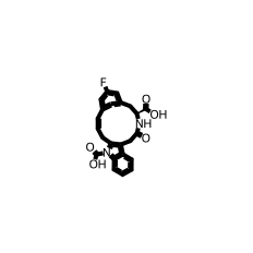 O=C1Cc2c(n(C(=O)O)c3ccccc23)C/C=C\c2cc(F)cc(c2)C[C@@H](C(=O)O)N1